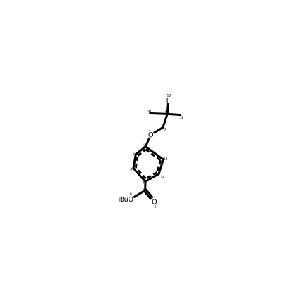 CC(C)COC(=O)c1ccc(OCC(C)(C)F)cc1